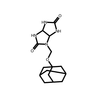 O=C1NC2NC(=O)N(COC34CC5CC(CC(C5)C3)C4)C2N1